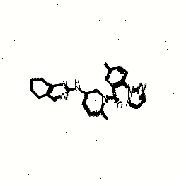 Cc1ccc(-n2nccn2)c(C(=O)N2CC(Nc3ncc4c(n3)CCCC4)CCC2C)c1